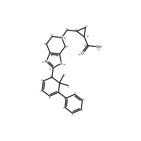 CC1(C)C(c2ccccc2)=CC=CC1c1nc2c(s1)CN(CC1CC1C(=O)O)CC2